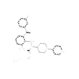 COC(=O)N(Nc1c(N)cccc1C(=O)c1cccc(Cl)c1)C1CCN(c2ccncc2)CC1.Cl.O